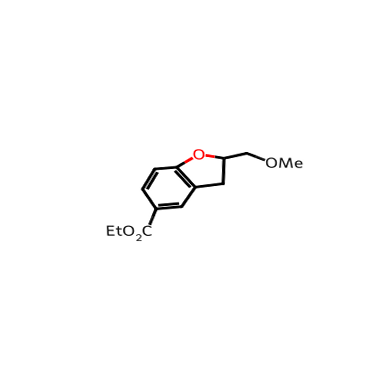 CCOC(=O)c1ccc2c(c1)CC(COC)O2